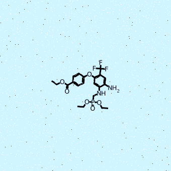 CCOC(=O)c1ccc(Oc2cc(NCP(=O)(OCC)OCC)c(N)cc2C(F)(F)F)cc1